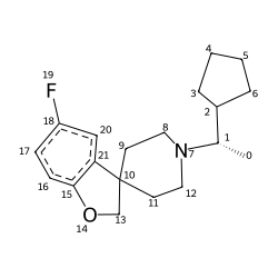 C[C@@H](C1CCCC1)N1CCC2(CC1)COc1ccc(F)cc12